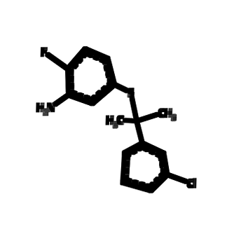 CC(C)(Sc1ccc(F)c(N)c1)c1cccc(Cl)c1